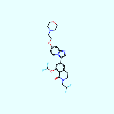 O=C1c2c(cc(-c3cnc4cc(OCCN5CCOCC5)ccn34)cc2OC(F)F)CCN1CC(F)F